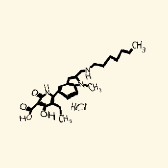 CCCCCCCNCc1cc2cc(-c3[nH]c(=O)c(C(=O)O)c(O)c3CC)ccc2n1C.Cl